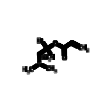 C=CC(=O)OC(CC)(CN(C)C)S(=O)(=O)O